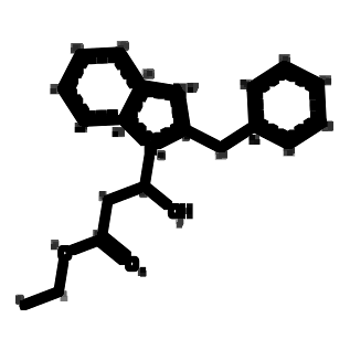 CCOC(=O)CC(O)n1c(Cc2ccccc2)nc2ccccc21